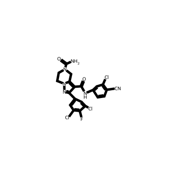 N#Cc1ccc(NC(=O)c2c(-c3cc(Cl)c(F)c(Cl)c3)nn3c2CN(C(N)=O)CC3)cc1Cl